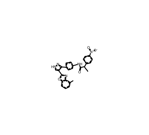 Cc1cccc2oc(-c3c[nH]nc3-c3ccc(NC(=O)C(C)c4ccc([N+](=O)[O-])cc4)cc3)nc12